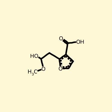 COC(O)Cc1occc1C(=O)O